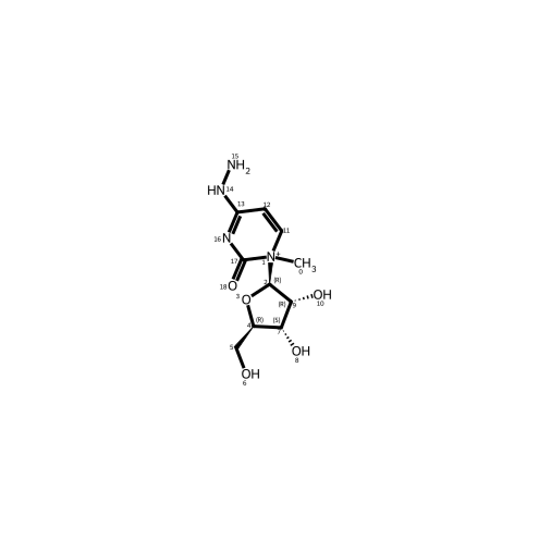 C[N+]1([C@@H]2O[C@H](CO)[C@@H](O)[C@H]2O)C=CC(NN)=NC1=O